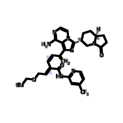 C=C(/C=C\C(=C/COCC(C)(C)C)C(=O)Nc1cc(C(F)(F)F)ccn1)c1nc([C@@H]2CC[C@H]3CCC(=O)N3C2)n2ccnc(N)c12